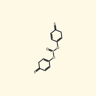 O=S(OC1=CCC(=S)C=C1)OC1=CCC(=S)C=C1